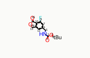 CC(C)(C)OC(=O)NCc1cc(F)c2c(c1)COC2=O